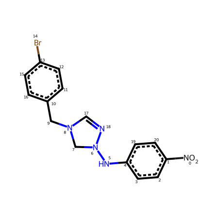 O=[N+]([O-])c1ccc(NN2CN(Cc3ccc(Br)cc3)C=N2)cc1